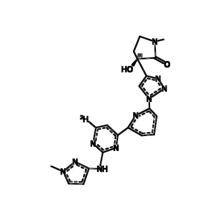 [2H]c1cc(-c2cccc(-n3cc([C@]4(O)CCN(C)C4=O)nn3)n2)nc(Nc2ccn(C)n2)n1